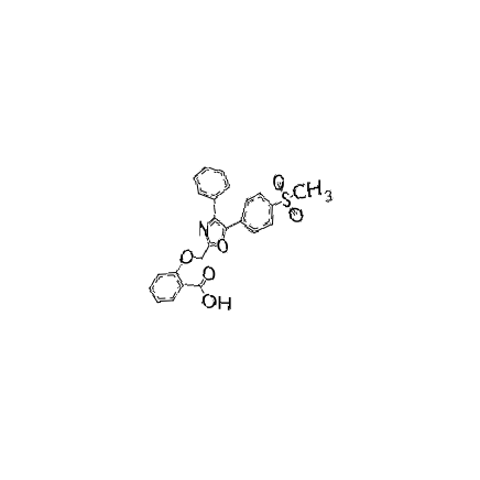 CS(=O)(=O)c1ccc(-c2oc(COc3ccccc3C(=O)O)nc2-c2ccccc2)cc1